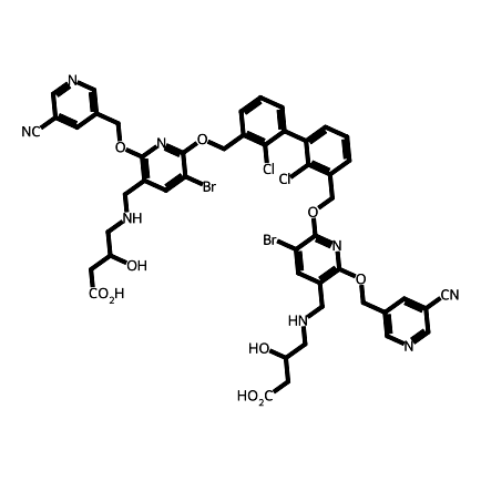 N#Cc1cncc(COc2nc(OCc3cccc(-c4cccc(COc5nc(OCc6cncc(C#N)c6)c(CNCC(O)CC(=O)O)cc5Br)c4Cl)c3Cl)c(Br)cc2CNCC(O)CC(=O)O)c1